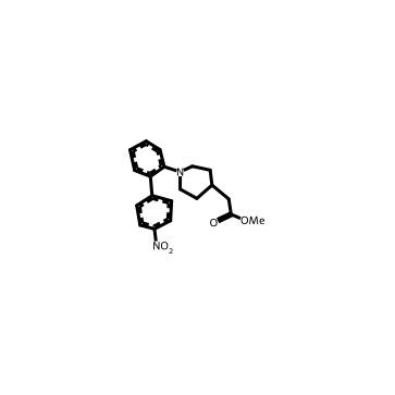 COC(=O)CC1CCN(c2ccccc2-c2ccc([N+](=O)[O-])cc2)CC1